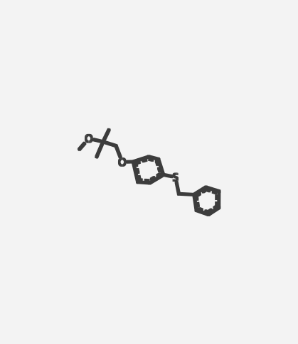 COC(C)(C)COc1ccc(SCc2ccccc2)cc1